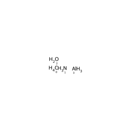 C.N.O.[AlH3]